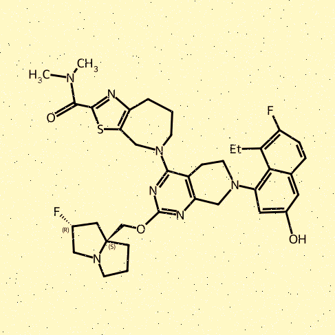 CCc1c(F)ccc2cc(O)cc(N3CCc4c(nc(OC[C@@]56CCCN5C[C@H](F)C6)nc4N4CCCc5nc(C(=O)N(C)C)sc5C4)C3)c12